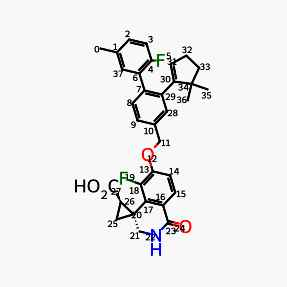 Cc1ccc(F)c(-c2ccc(COc3ccc4c(c3F)[C@@]3(CNC4=O)C[C@H]3C(=O)O)cc2C2=CCCC2(C)C)c1